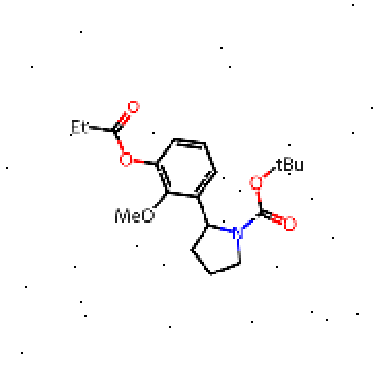 CCC(=O)Oc1cccc(C2CCCN2C(=O)OC(C)(C)C)c1OC